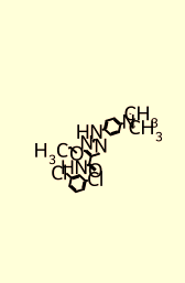 CCOc1nc(Nc2ccc(N(C)C)cc2)ncc1C(=O)Nc1c(Cl)cccc1Cl